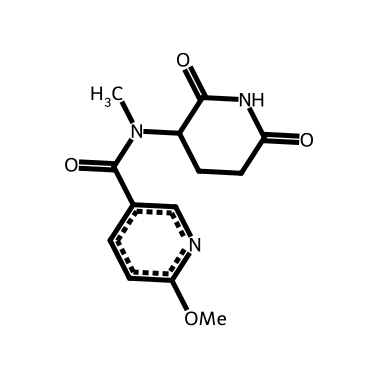 COc1ccc(C(=O)N(C)C2CCC(=O)NC2=O)cn1